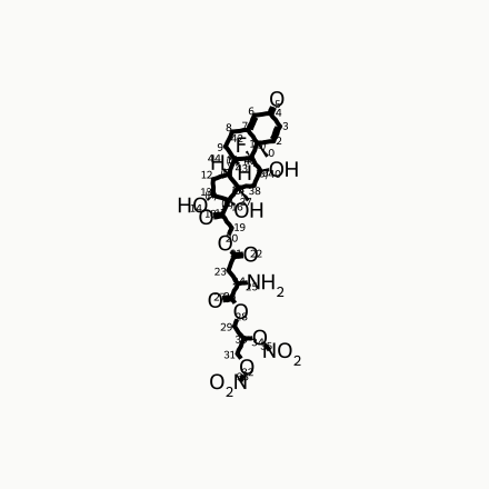 C[C@]12C=CC(=O)C=C1CC[C@H]1[C@@H]3C[C@@H](O)[C@](O)(C(=O)COC(=O)CC(N)C(=O)OCC(CO[N+](=O)[O-])O[N+](=O)[O-])[C@@]3(C)C[C@H](O)[C@@]12F